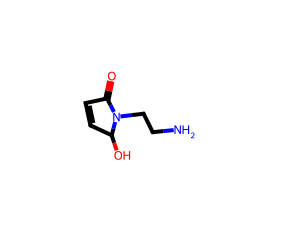 NCCN1C(=O)C=CC1O